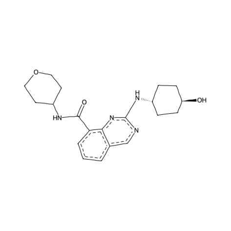 O=C(NC1CCOCC1)c1cccc2cnc(N[C@H]3CC[C@H](O)CC3)nc12